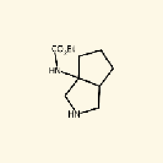 CCOC(=O)NC12CCCC1CNC2